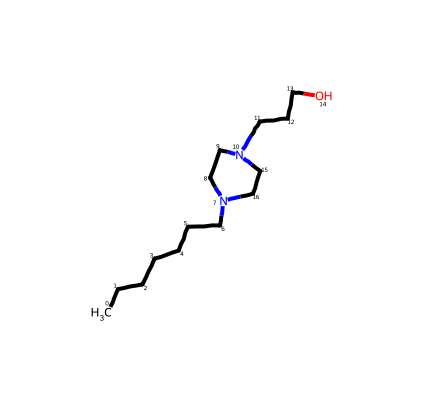 CCCCCCCN1CCN(CCCO)CC1